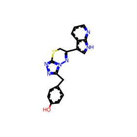 Oc1ccc(Cc2nnc3n2N=C(c2c[nH]c4ncccc24)CS3)cc1